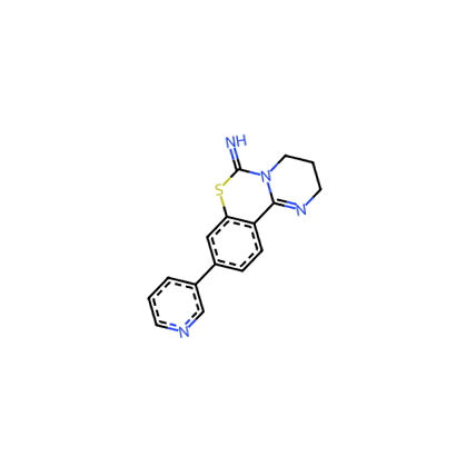 N=C1Sc2cc(-c3cccnc3)ccc2C2=NCCCN12